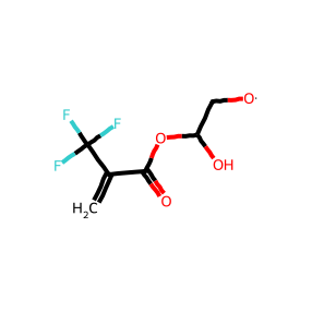 C=C(C(=O)OC(O)C[O])C(F)(F)F